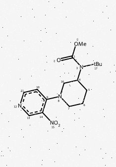 COC(=O)N(C1CCCN(c2ccncc2[N+](=O)[O-])C1)C(C)(C)C